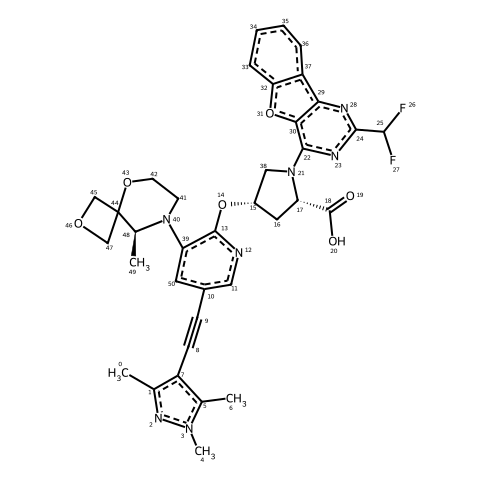 Cc1nn(C)c(C)c1C#Cc1cnc(O[C@H]2C[C@@H](C(=O)O)N(c3nc(C(F)F)nc4c3oc3ccccc34)C2)c(N2CCOC3(COC3)[C@@H]2C)c1